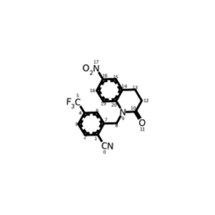 N#Cc1ccc(C(F)(F)F)cc1CN1C(=O)CCc2cc([N+](=O)[O-])ccc21